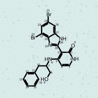 O=c1[nH]ccc(NC(CO)Cc2ccccc2)c1-c1nc2c(Br)cc(Br)cc2[nH]1